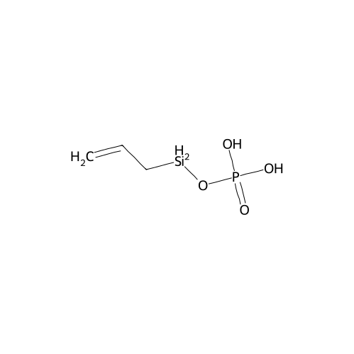 C=CC[SiH2]OP(=O)(O)O